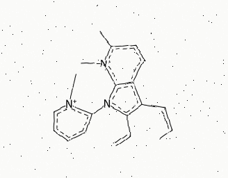 C=Cc1c(/C=C\C)c2ccc(C)[n+](C)c2n1-c1cccc[n+]1C